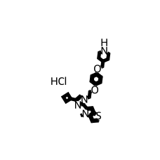 Cl.Cn1c(-c2nc(C3CCC3)cn2CCOc2ccc(OCC3CCNCC3)cc2)cc2sccc21